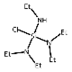 CCN[Si](Cl)(N(CC)CC)N(CC)CC